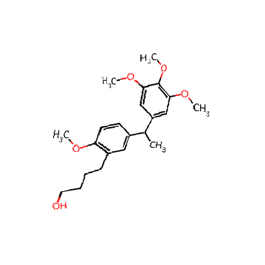 COc1ccc(C(C)c2cc(OC)c(OC)c(OC)c2)cc1CCCCO